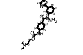 CN(C)CCOC(=O)Nc1ccc(C(=O)N(N)c2cccc(-c3nccs3)c2)cc1